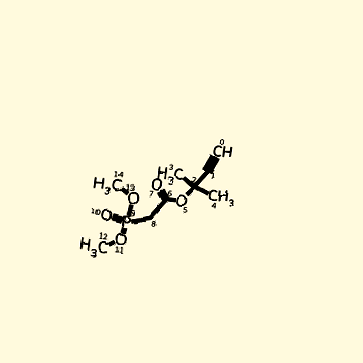 C#CC(C)(C)OC(=O)CP(=O)(OC)OC